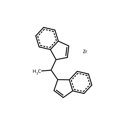 CC(C1C=Cc2ccccc21)C1C=Cc2ccccc21.[Zr]